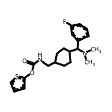 CN(C)C(c1cccc(F)c1)C1CCC(CNC(=O)Oc2cccs2)CC1